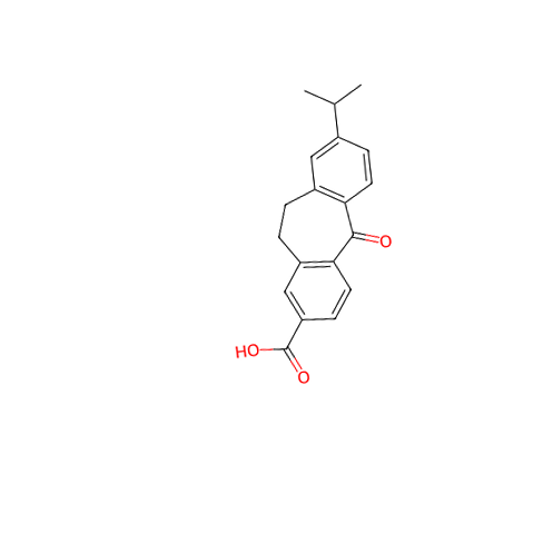 CC(C)c1ccc2c(c1)CCc1cc(C(=O)O)ccc1C2=O